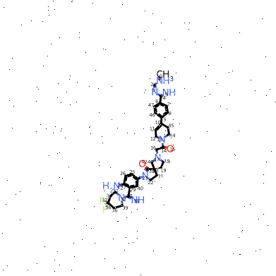 CN/C=N\C(=N)c1ccc(C2=CCN(C(=O)CN3CC[C@]4(CCN(c5ccc(N)c(C(=N)N6CCC(F)(F)CC6)c5)C4=O)C3)CC2)cc1